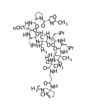 CCCCCCCC[C@H](NC(=O)[C@@H]1CCCN1C(=O)c1coc(C)n1)C(=O)N[C@@H](CC(C)C)C(=O)NC(C)(C)C(=O)N[C@@H](CC(C)C)C(=O)N[C@@H](CC(C)C)C(=O)NC(C)(C)C(=O)NC(C)(C)C(=O)NCCC(=O)NC1(CN(C)C)CCCC1